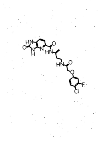 C=C(CCNC(=O)COc1ccc(Cl)c(F)c1)NC(=O)c1ccc2[nH]c(=O)[nH]c2n1